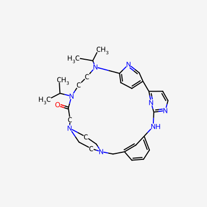 CC(C)N1CCN(C(C)C)c2ccc(cn2)-c2ccnc(n2)Nc2cccc(c2)CN2CCN(CC2)CC1=O